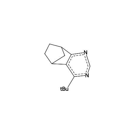 CC(C)(C)c1ncnc2c1C1CCC2C1